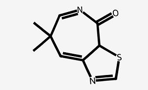 CC1(C)C=NC(=O)C2SC=NC2=C1